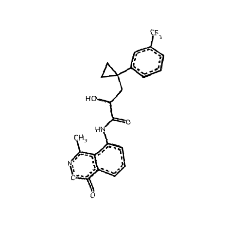 Cc1noc(=O)c2cccc(NC(=O)C(O)CC3(c4cccc(C(F)(F)F)c4)CC3)c12